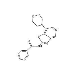 O=C(Nc1nc2cncc(N3CCOCC3)c2s1)c1ccccc1